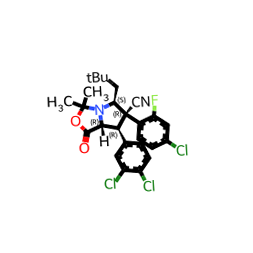 CC(C)(C)C[C@@H]1N2[C@@H](C(=O)OC2(C)C)[C@H](c2ccc(Cl)c(Cl)c2)[C@@]1(C#N)c1ccc(Cl)cc1F